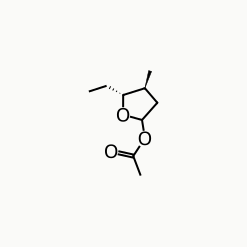 CC[C@H]1OC(OC(C)=O)C[C@@H]1C